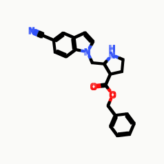 N#Cc1ccc2c(ccn2CC2NCCC2C(=O)OCc2ccccc2)c1